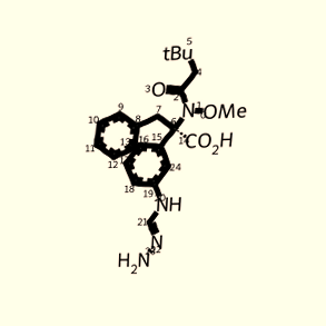 CON(C(=O)CC(C)(C)C)[C@@](Cc1ccccc1)(C(=O)O)c1cccc(NC=NN)c1